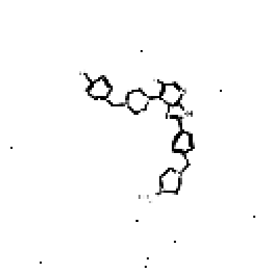 O=C(O)N1CCN(Cc2ccc(-c3nc4c(N5CCN(Cc6ccc(Cl)cc6)CC5)c(Br)cnc4[nH]3)cc2)CC1